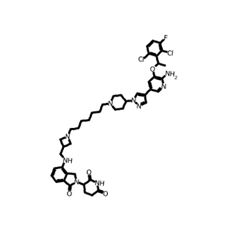 CC(Oc1cc(-c2cnn(C3CCN(CCCCCCCN4CC(CNc5cccc6c5CN(C5CCC(=O)NC5=O)C6=O)C4)CC3)c2)cnc1N)c1c(Cl)ccc(F)c1Cl